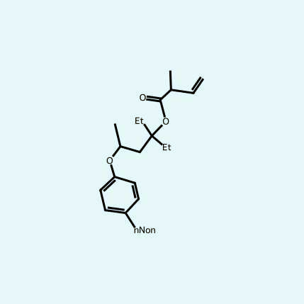 C=CC(C)C(=O)OC(CC)(CC)CC(C)Oc1ccc(CCCCCCCCC)cc1